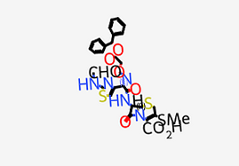 CSC1=C(C(=O)O)N2C(=O)C(NC(=O)/C(=N/OCC(=O)OC(c3ccccc3)c3ccccc3)c3csc(NC=O)n3)[C@H]2SC1